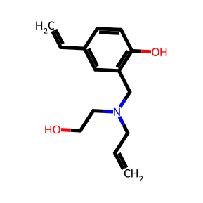 C=CCN(CCO)Cc1cc(C=C)ccc1O